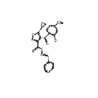 CSc1ccc(C(=O)c2c(C(=O)ON=Cc3ccccc3)noc2C2CC2)c(Cl)c1